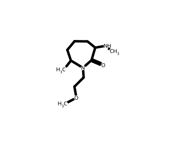 CNC1CCCC(C)N(CCOC)C1=O